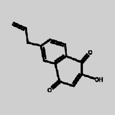 C=CCc1ccc2c(c1)C(=O)C=C(O)C2=O